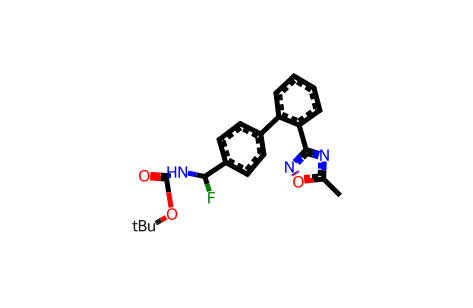 Cc1nc(-c2ccccc2-c2ccc(C(F)NC(=O)OC(C)(C)C)cc2)no1